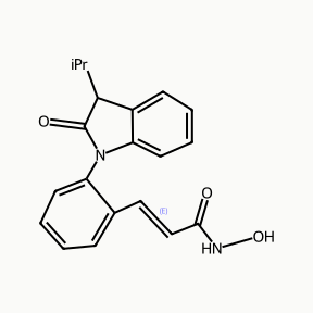 CC(C)C1C(=O)N(c2ccccc2/C=C/C(=O)NO)c2ccccc21